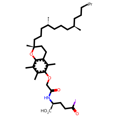 Cc1c(C)c2c(c(C)c1OCC(=O)N[C@@H](CCC(=O)I)C(=O)O)CC[C@@](C)(CCC[C@H](C)CCC[C@H](C)CCCC(C)C)O2